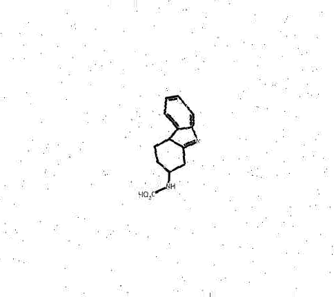 O=C(O)NC1CCC2C(=Nc3ccccc32)C1